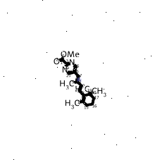 COC(=O)c1ncc(/C=C(\C)C=CC2=C(C)CCCC2(C)C)cn1